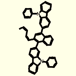 C/C=C\C=C/c1cc(-c2ccc3c4ccccc4n(-c4ccccc4)c3c2)c2ccccc2c1-c1ccc2c3ccccc3n(-c3ccccc3)c2c1